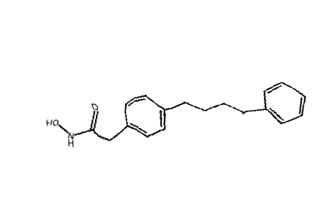 O=C(Cc1ccc(CCCCc2ccccc2)cc1)NO